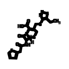 CCc1snnc1SCC1=C(C(=O)O)N2C(=O)C(NC(=O)Cc3cccs3)[C@H]2SC1